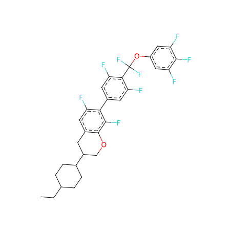 CCC1CCC(C2COc3c(cc(F)c(-c4cc(F)c(C(F)(F)Oc5cc(F)c(F)c(F)c5)c(F)c4)c3F)C2)CC1